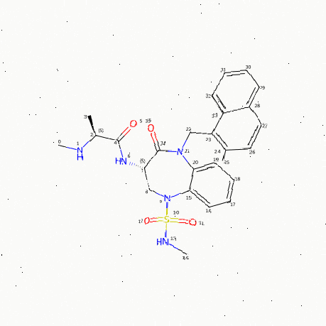 CN[C@@H](C)C(=O)N[C@H]1CN(S(=O)(=O)NC)c2ccccc2N(Cc2c(C)ccc3ccccc23)C1=O